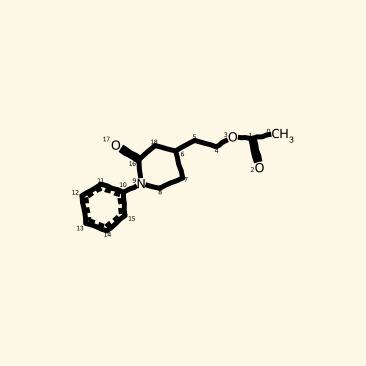 CC(=O)OCCC1CCN(c2ccccc2)C(=O)C1